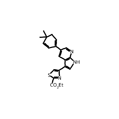 CCOC(=O)c1nc(-c2c[nH]c3ncc(C4=CCC(C)(C)C=C4)cc23)cs1